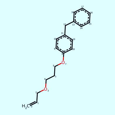 C=CCOCCCOc1ccc(Cc2ccccc2)cc1